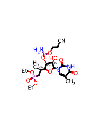 CCOP(=O)(C[C@@H](C)C1OC(n2cc(C)c(=O)[nH]c2=O)[C@H](O)[C@@H]1OP(N)OCCC#N)OCC